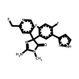 CN1C(=O)C(c2ccnc(CF)c2)(c2cc(-c3cc[nH]n3)c(F)cc2F)N=C1N